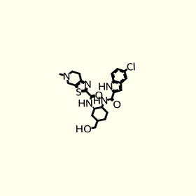 CN1CCc2nc(C(=O)N[C@H]3CC(CO)CCC3NC(=O)c3cc4cc(Cl)ccc4[nH]3)sc2C1